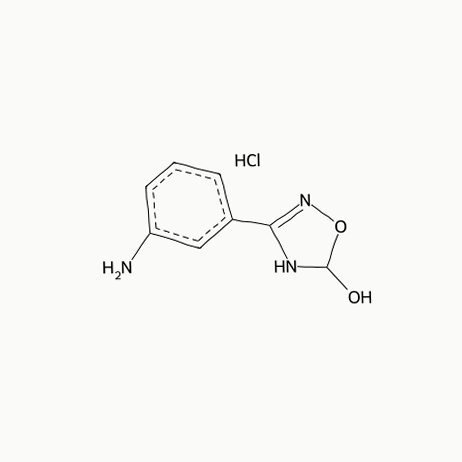 Cl.Nc1cccc(C2=NOC(O)N2)c1